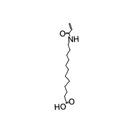 C=CC(=O)NCCCCCCCCCCCC(=O)O